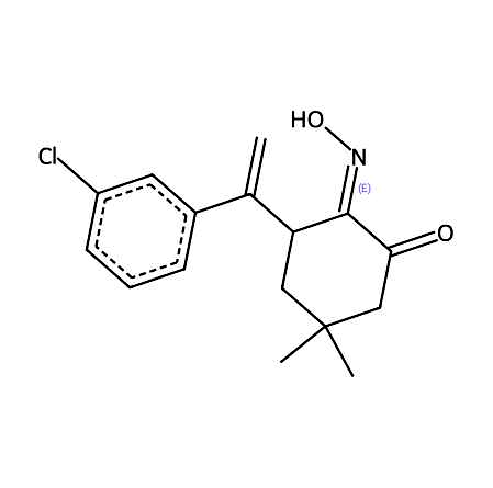 C=C(c1cccc(Cl)c1)C1CC(C)(C)CC(=O)/C1=N/O